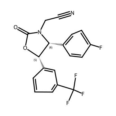 N#CCN1C(=O)O[C@@H](c2cccc(C(F)(F)F)c2)[C@H]1c1ccc(F)cc1